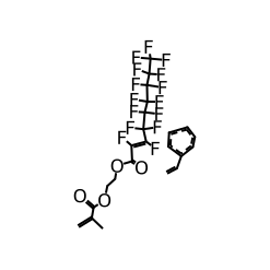 C=C(C)C(=O)OCCOC(=O)C(F)=C(F)C(F)(F)C(F)(F)C(F)(F)C(F)(F)C(F)(F)C(F)(F)F.C=Cc1ccccc1